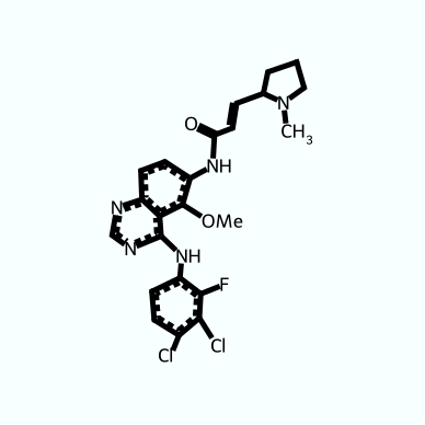 COc1c(NC(=O)C=CC2CCCN2C)ccc2ncnc(Nc3ccc(Cl)c(Cl)c3F)c12